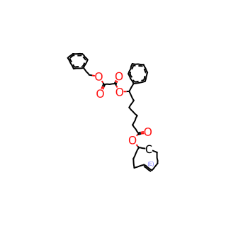 O=C(CCCCC(OC(=O)C(=O)OCc1ccccc1)c1ccccc1)OC1CC/C=C/CCC1